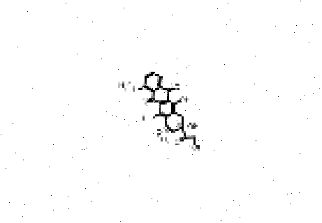 COc1cccc2c1C(=O)c1c(O)c3c(c(O)c1C2=O)C[C@@](O)(C(=O)CO)C[C@@H]3OC